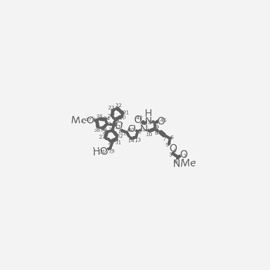 CNC(=O)COCCC#Cc1cn(C2CCC(COC(c3ccccc3)(c3ccc(CO)cc3)c3ccc(OC)cc3)O2)c(=O)[nH]c1=O